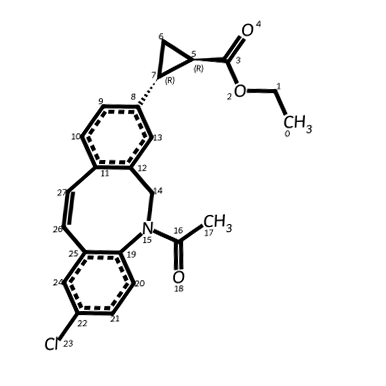 CCOC(=O)[C@@H]1C[C@H]1c1ccc2c(c1)CN(C(C)=O)c1ccc(Cl)cc1C=C2